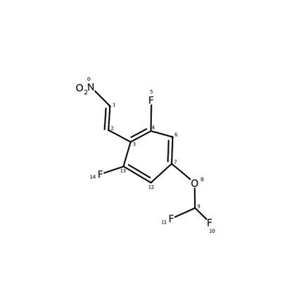 O=[N+]([O-])C=Cc1c(F)cc(OC(F)F)cc1F